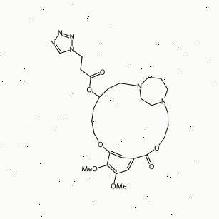 COc1cc2cc(c1OC)OCCCC(OC(=O)CCn1cnnn1)CCN1CCCN(CCCOC2=O)CC1